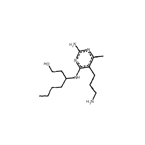 CCCCC(CCO)Nc1nc(N)nc(C)c1CCCN